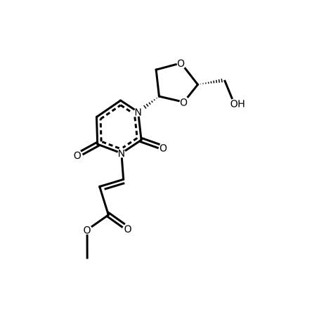 COC(=O)C=Cn1c(=O)ccn([C@@H]2CO[C@H](CO)O2)c1=O